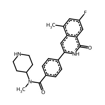 Cc1cc(F)cc2c(=O)[nH]c(-c3ccc(C(=O)N(C)C4CCNCC4)cc3)cc12